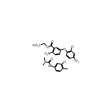 CCOC(=O)COC(=O)c1cc(Oc2ccc(C(F)(F)F)cc2Cl)ccc1[N+](=O)[O-].Cc1ccc(NC(=O)N(C)C)cc1Cl